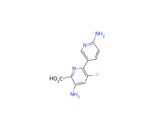 Nc1ccc(-c2nc(C(=O)O)c(N)cc2F)cn1